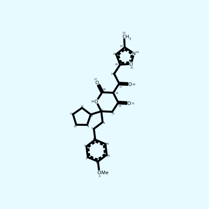 COc1ccc(CCC2(C3CCCC3)CC(=O)C(C(=O)Cc3cc(C)no3)C(=O)O2)cc1